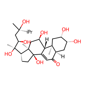 CC(C)[C@](C)(O)C[C@@H](O)[C@](C)(O)[C@H]1CC[C@@]2(O)C3=CC(=O)[C@@H]4C[C@@H](O)[C@@H](O)C[C@]4(C)[C@H]3[C@H](O)C[C@]12C